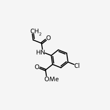 C=CC(=O)Nc1ccc(Cl)cc1C(=O)OC